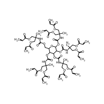 C=CC(=O)OCC(C)(COC(=O)C=C)NC(=O)OCC1OC(OC(=O)NC(C)(COC(=O)C=C)COC(=O)C=C)C(OC(=O)NC(C)(COC(=O)C=C)COC(=O)C=C)C(OC(=O)NC(C)(COC(=O)C=C)COC(=O)C=C)C1OC(=O)NC(C)(COC(=O)C=C)COC(=O)C=C